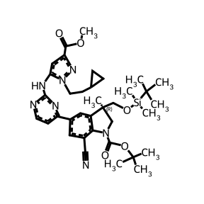 COC(=O)c1cc(Nc2nccc(-c3cc(C#N)c4c(c3)[C@@](C)(CO[Si](C)(C)C(C)(C)C)CN4C(=O)OC(C)(C)C)n2)n(CCC2CC2)n1